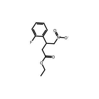 CCOC(=O)CC(C[N+](=O)[O-])c1ccccc1F